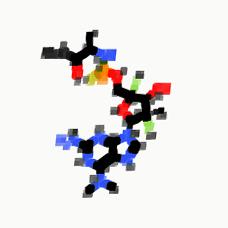 COC(=O)[C@@H](C)N[PH](=S)OC[C@@]1(F)O[C@@H](n2cnc3c(N(C)C)nc(N)nc32)[C@](C)(F)[C@@H]1O